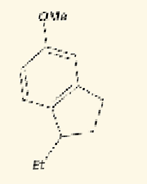 CCC1CCc2cc(OC)ccc21